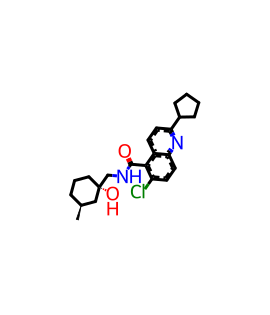 C[C@H]1CCC[C@@](O)(CNC(=O)c2c(Cl)ccc3nc(C4CCCC4)ccc23)C1